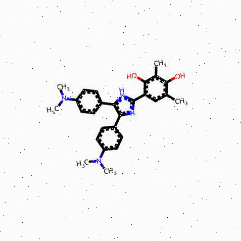 Cc1cc(-c2nc(-c3ccc(N(C)C)cc3)c(-c3ccc(N(C)C)cc3)[nH]2)c(O)c(C)c1O